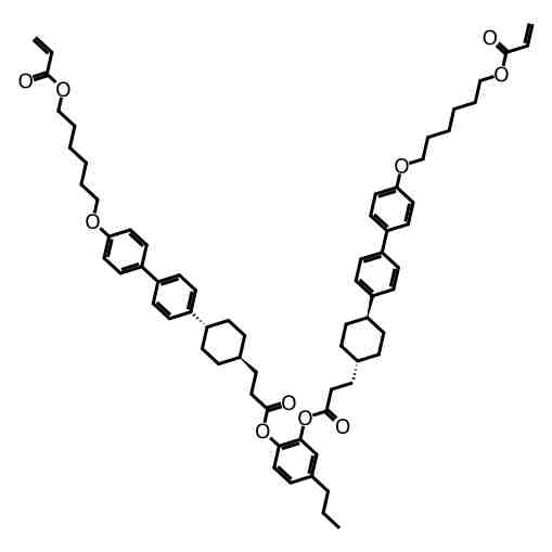 C=CC(=O)OCCCCCCOc1ccc(-c2ccc([C@H]3CC[C@H](CCC(=O)Oc4ccc(CCC)cc4OC(=O)CC[C@H]4CC[C@H](c5ccc(-c6ccc(OCCCCCCOC(=O)C=C)cc6)cc5)CC4)CC3)cc2)cc1